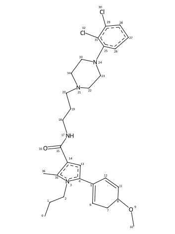 CCCn1c(C2=CCC(OC)C=C2)cc(C(=O)NCCCN2CCN(c3cccc(Cl)c3Cl)CC2)c1C